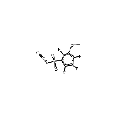 COc1c(F)c(F)c(Cl)c(S(=O)(=O)N=C=O)c1F